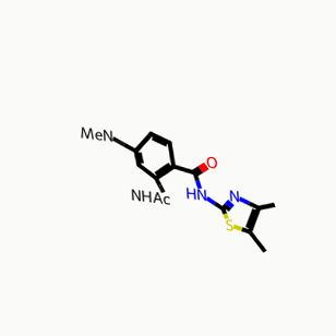 CNc1ccc(C(=O)Nc2nc(C)c(C)s2)c(NC(C)=O)c1